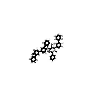 CN1C(c2ccccc2)NC(n2c3ccccc3c3cc(-c4ccc5sc6ccccc6c5c4)ccc32)NC1c1cccc(-c2ccccc2)c1